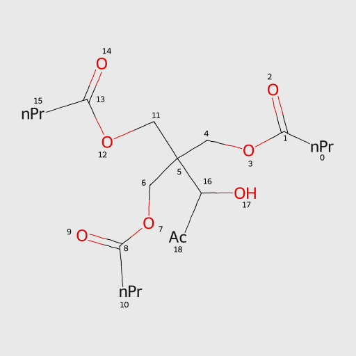 CCCC(=O)OCC(COC(=O)CCC)(COC(=O)CCC)C(O)C(C)=O